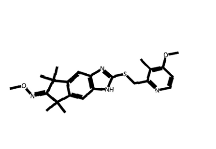 CON=C1C(C)(C)c2cc3nc(SCc4nccc(OC)c4C)[nH]c3cc2C1(C)C